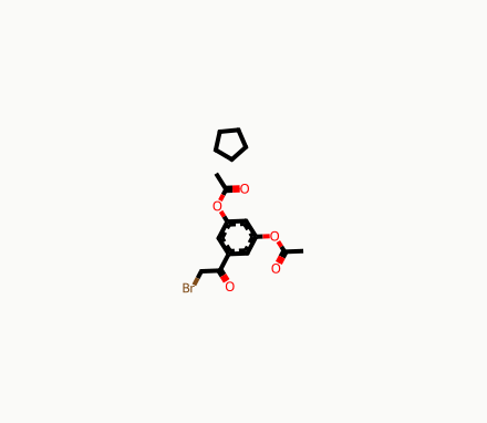 C1CCCC1.CC(=O)Oc1cc(OC(C)=O)cc(C(=O)CBr)c1